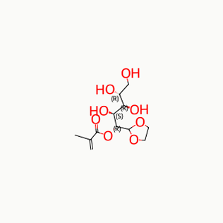 C=C(C)C(=O)O[C@@H](C1OCCO1)[C@@H](O)[C@H](O)[C@H](O)CO